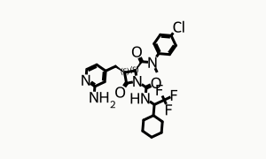 CN(C(=O)[C@@H]1[C@H](Cc2ccnc(N)c2)C(=O)N1C(=O)NC(C1CCCCC1)C(F)(F)F)c1ccc(Cl)cc1